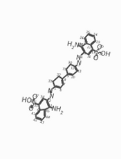 Nc1c(N=NC2=CC=C(C3=CC=C(/N=N/c4cc(S(=O)(=O)O)c5ccccc5c4N)CC3)CC2)cc(S(=O)(=O)O)c2ccccc12